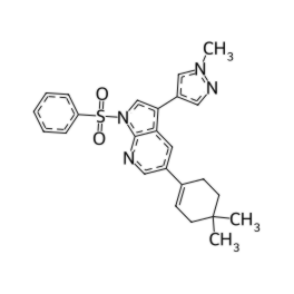 Cn1cc(-c2cn(S(=O)(=O)c3ccccc3)c3ncc(C4=CCC(C)(C)CC4)cc23)cn1